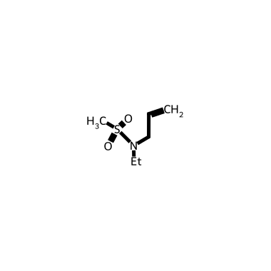 C=CCN(CC)S(C)(=O)=O